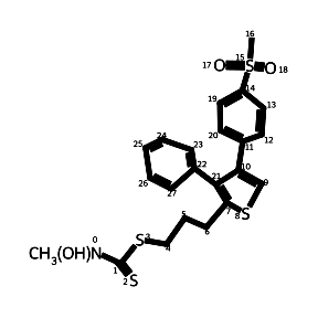 CN(O)C(=S)SCCCc1scc(-c2ccc(S(C)(=O)=O)cc2)c1-c1ccccc1